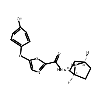 O=C(N[C@@H]1C[C@H]2CC[C@@H]1N2)c1ncc(Oc2ccc(O)cc2)s1